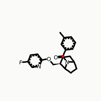 Cc1cccc(C(=O)N2C3CCC2[C@@H](COc2ccc(F)cn2)CC3)c1